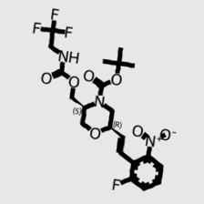 CC(C)(C)OC(=O)N1C[C@@H](C=Cc2c(F)cccc2[N+](=O)[O-])OC[C@H]1COC(=O)NCC(F)(F)F